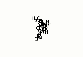 Cc1ccc2c(N[C@@H](C)c3ccc(NC(=O)c4ccc(Cl)nc4)cc3)nc(Cl)nc2c1